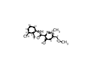 COCc1cc(=O)c(C(=O)Nc2cccc(Cl)c2F)nn1C